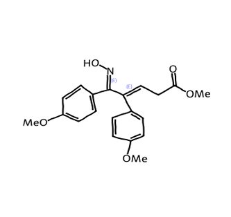 COC(=O)C/C=C(/C(=N/O)c1ccc(OC)cc1)c1ccc(OC)cc1